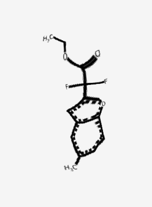 CCOC(=O)C(F)(F)c1cc2cc(C)ccc2o1